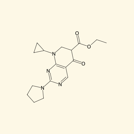 CCOC(=O)C1CN(C2CC2)c2nc(N3CCCC3)ncc2C1=O